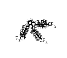 FC(F)(F)C(F)(F)C(F)(F)C(F)(F)C(F)(F)C(F)(F)CCc1[c]ccc(CCC(F)(F)C(F)(F)C(F)(F)C(F)(F)C(F)(F)C(F)(F)F)c1CCC(F)(F)C(F)(F)C(F)(F)C(F)(F)C(F)(F)C(F)(F)F